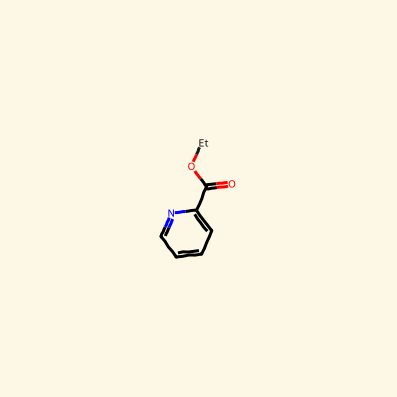 [CH2]COC(=O)c1ccccn1